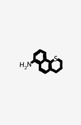 Nc1cccc2c3c(ccc12)CCCS3